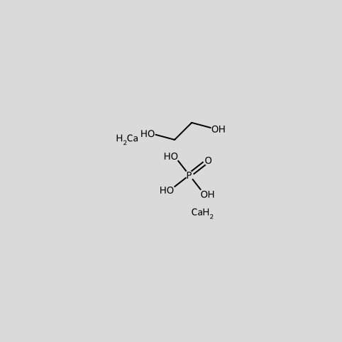 O=P(O)(O)O.OCCO.[CaH2].[CaH2]